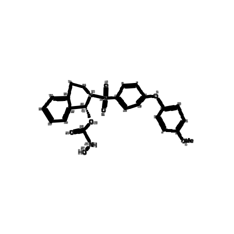 COc1ccc(Oc2ccc(S(=O)(=O)N3CCc4ccccc4[C@H]3OC(=O)NO)cc2)cc1